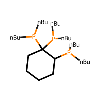 CCCCP(CCCC)C1CCCCC1(P(CCCC)CCCC)P(CCCC)CCCC